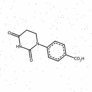 O=C1CCN(c2ccc(C(=O)O)cc2)C(=O)N1